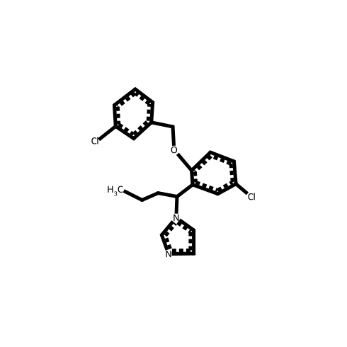 CCCC(c1cc(Cl)ccc1OCc1cccc(Cl)c1)n1ccnc1